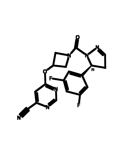 N#Cc1cc(OC2CN(C(=O)N3N=CC[C@H]3c3cc(F)cc(F)c3)C2)ncn1